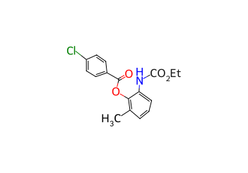 CCOC(=O)Nc1cccc(C)c1OC(=O)c1ccc(Cl)cc1